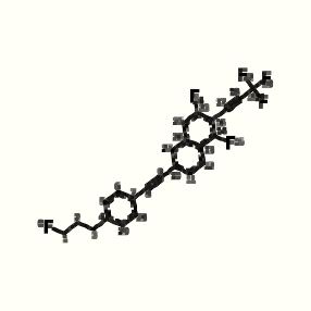 FCCCc1ccc(C#Cc2ccc3c(F)c(C#CC(F)(F)F)c(F)cc3c2)cc1